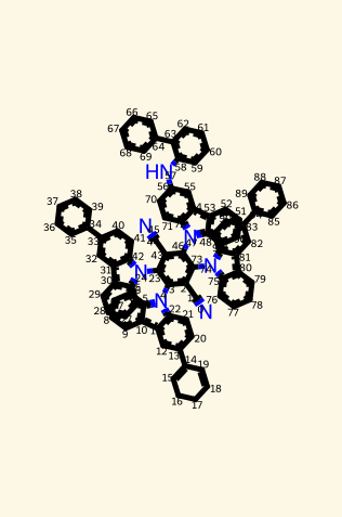 N#Cc1c(-n2c3ccccc3c3cc(C4=CCCC=C4)ccc32)c(-n2c3ccccc3c3cc(-c4ccccc4)ccc32)c(C#N)c(-n2c3ccccc3c3cc(Nc4ccccc4-c4ccccc4)ccc32)c1-n1c2ccccc2c2cc(-c3ccccc3)ccc21